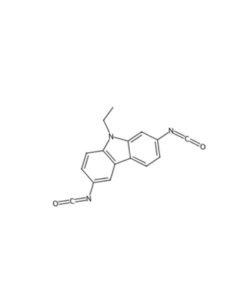 CCn1c2ccc(N=C=O)cc2c2ccc(N=C=O)cc21